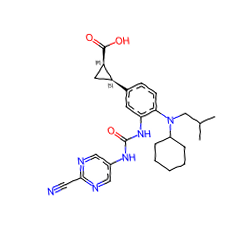 CC(C)CN(c1ccc([C@H]2C[C@H]2C(=O)O)cc1NC(=O)Nc1cnc(C#N)nc1)C1CCCCC1